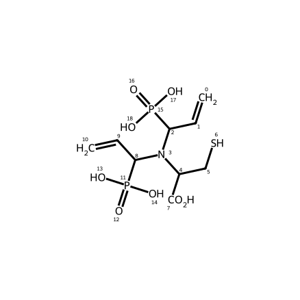 C=CC(N(C(CS)C(=O)O)C(C=C)P(=O)(O)O)P(=O)(O)O